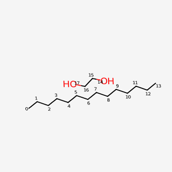 CCCCCCCCCCCCCC.OCCO